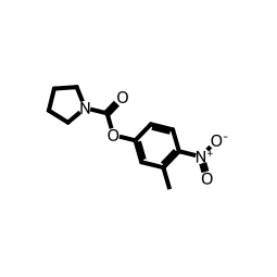 Cc1cc(OC(=O)N2CCCC2)ccc1[N+](=O)[O-]